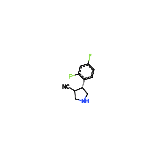 N#CC1CNC[C@H]1c1ccc(F)cc1F